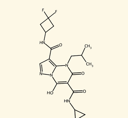 CC(C)Cn1c(=O)c(C(=O)NC2CC2)c(O)n2ncc(C(=O)NC3CC(F)(F)C3)c12